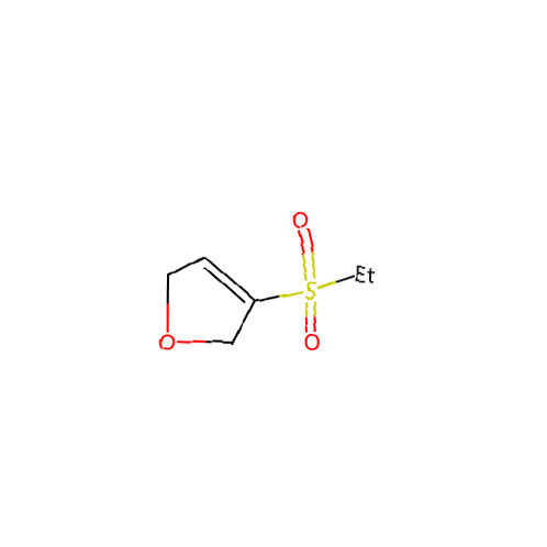 CCS(=O)(=O)C1=CCOC1